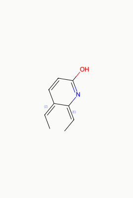 C/C=c1/ccc(O)n/c1=C/C